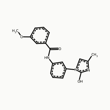 COc1cccc(C(=O)Nc2cccc(-n3cc(C)nc3O)c2)c1